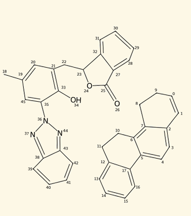 C1=Cc2ccc3c(c2CC1)CCc1ccccc1-3.Cc1cc(CC2OC(=O)c3ccccc32)c(O)c(-n2nc3ccccc3n2)c1